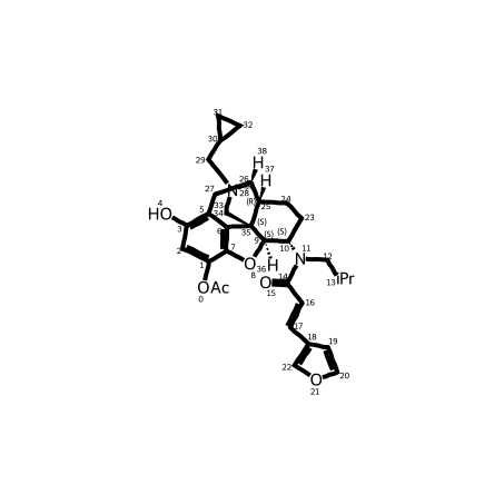 CC(=O)Oc1cc(O)c2c3c1O[C@@H]1[C@@H](N(CC(C)C)C(=O)C=Cc4ccoc4)CC[C@H]4[C@@H](C2)N(CC2CC2)CC[C@]314